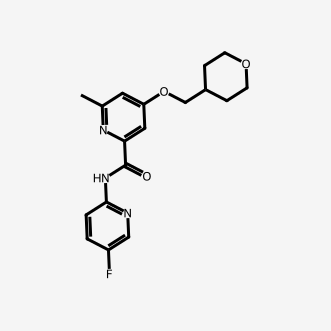 Cc1cc(OCC2CCOCC2)cc(C(=O)Nc2ccc(F)cn2)n1